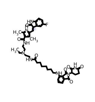 CCN(CCNC(=O)CCCCCCCNc1cccc2c1C(=O)N(C1CCC(=O)NC1=O)C2=O)CCNC(=O)c1c(C)[nH]c(/C=C2\C(=O)Nc3ccc(F)cc32)c1C